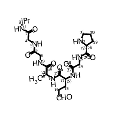 CC(C)NC(=O)CNC(=O)CNC(=O)[C@H](C)NC(=O)[C@H](CCC=O)NC(=O)CNC(=O)[C@@H]1CCCN1